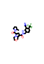 CC1CCCN1C(=O)c1cc(C(=O)NCc2ccc(C(F)(F)F)c(C#N)c2)c2n1CCOC2